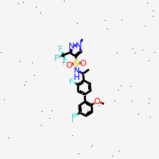 COc1ccc(F)cc1-c1ccc(C(C)NS(=O)(=O)c2cn(C)nc2C(F)(F)F)c(F)c1